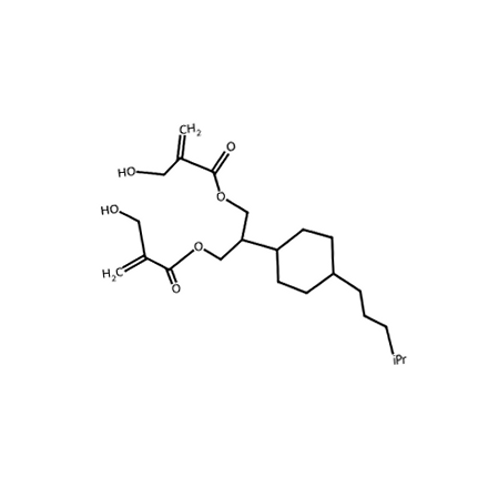 C=C(CO)C(=O)OCC(COC(=O)C(=C)CO)C1CCC(CCCC(C)C)CC1